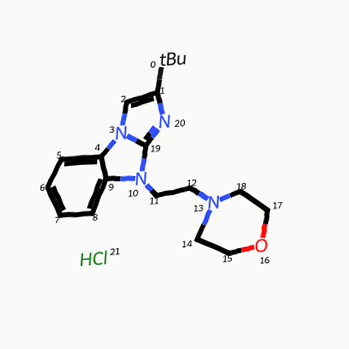 CC(C)(C)c1cn2c3ccccc3n(CCN3CCOCC3)c2n1.Cl